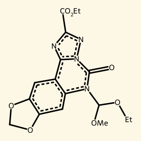 CCOC(=O)c1nc2c3cc4c(cc3n(C(OC)OCC)c(=O)n2n1)OCO4